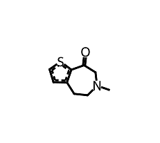 CN1CCc2ccsc2C(=O)C1